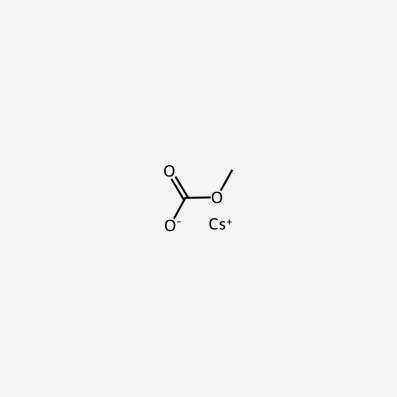 COC(=O)[O-].[Cs+]